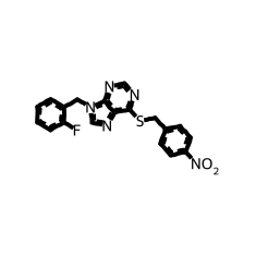 O=[N+]([O-])c1ccc(CSc2ncnc3c2ncn3Cc2ccccc2F)cc1